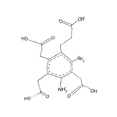 Nc1c(CC(=O)O)c(N)c(CC(=O)O)c(CC(=O)O)c1CCC(=O)O